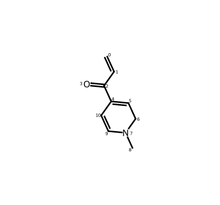 C=CC(=O)C1=CCN(C)C=C1